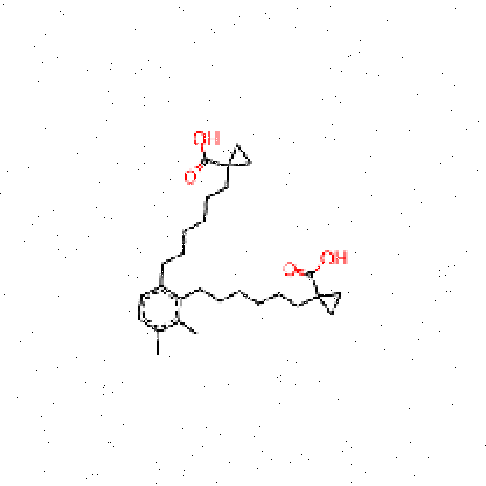 Cc1ccc(CCCCCCC2(C(=O)O)CC2)c(CCCCCCC2(C(=O)O)CC2)c1C